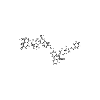 COc1cc(NC(=O)CCCc2ccc(-c3ccccc3)c(N(C(=O)O)[C@H]3CC[C@H](NC(=O)OCc4ccccc4)CC3)c2)c(Cl)cc1CNC[C@H](O[Si](C)(C)C(C)(C)C)c1ccc(O)c2[nH]c(=O)ccc12